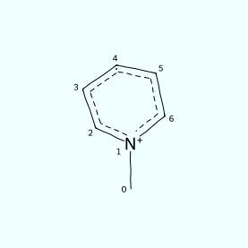 C[n+]1cc[c]cc1